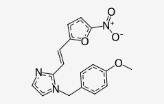 COc1ccc(Cn2ccnc2C=Cc2ccc([N+](=O)[O-])o2)cc1